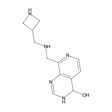 OC1NC=Nc2c1ccnc2CNCC1CNC1